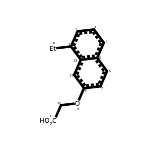 [CH2]Cc1cccc2ccc(OCC(=O)O)cc12